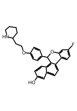 Oc1ccc2c3c(ccc2c1)-c1ccc(F)cc1OC3c1ccc(OCCC2CCCCN2)cc1